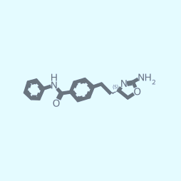 NC1=N[C@@H](CCc2ccc(C(=O)Nc3ccccc3)cc2)CO1